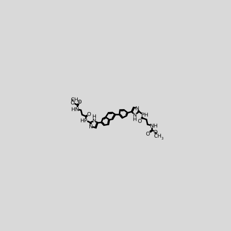 COC(=O)NCCC(=O)Pc1ncc(-c2ccc(-c3ccc4cc(-c5cnc(PC(=O)CCNC(=O)OC)[nH]5)ccc4c3)cc2)[nH]1